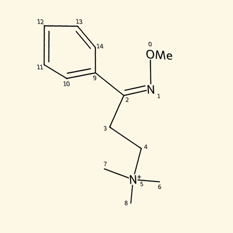 CO/N=C(/CC[N+](C)(C)C)c1ccccc1